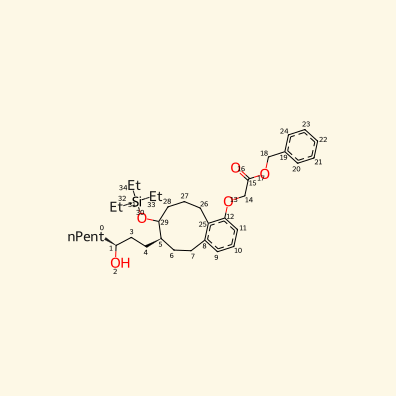 CCCCC[C@H](O)CC[C@@H]1CCc2cccc(OCC(=O)OCc3ccccc3)c2CCCC1O[Si](CC)(CC)CC